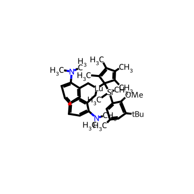 COc1c(C(C)(C)C)cc(C)cc1[Si](C)(C)[C]1([Lu]([CH2]c2ccccc2N(C)C)[CH2]c2ccccc2N(C)C)C(C)=C(C)C(C)=C1C